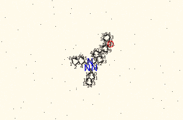 c1ccc2cc(-c3nc(-c4ccc5ccccc5c4)nc(-c4cccc5c(-c6ccc7oc8ccccc8c7c6)cccc45)n3)ccc2c1